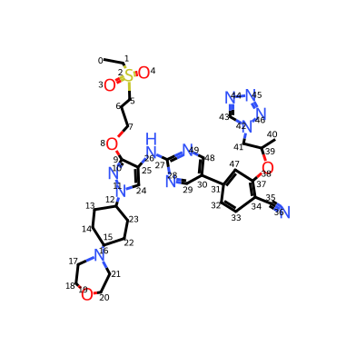 CCS(=O)(=O)CCCOc1nn(C2CCC(N3CCOCC3)CC2)cc1Nc1ncc(-c2ccc(C#N)c(OC(C)Cn3cnnn3)c2)cn1